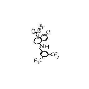 CC(C)OC(=O)N1CCCC(NCc2cc(C(F)(F)F)cc(C(F)(F)F)c2)c2ccc(Cl)cc21